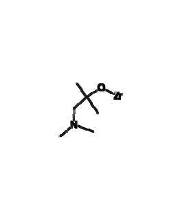 CN(C)CC(C)(C)[O][Zr]